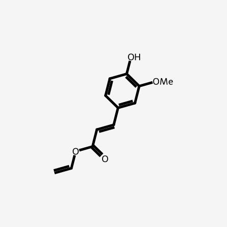 C=COC(=O)/C=C/c1ccc(O)c(OC)c1